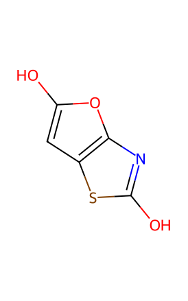 Oc1cc2sc(O)nc2o1